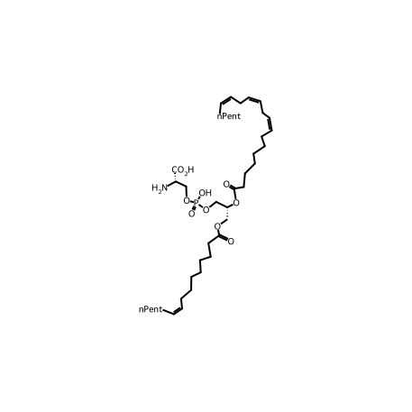 CCCCC/C=C\C/C=C\C/C=C\CCCCCCC(=O)O[C@H](COC(=O)CCCCCCC/C=C\CCCCC)COP(=O)(O)OC[C@H](N)C(=O)O